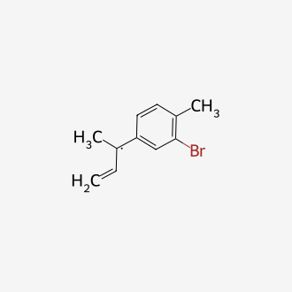 C=C[C](C)c1ccc(C)c(Br)c1